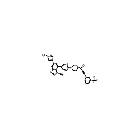 Cn1cc(-c2cc(-c3ccc(N4CCN(C(=O)C#Cc5cccc(C(F)(F)F)c5)CC4)nc3)c3c(C#N)cnn3c2)cn1